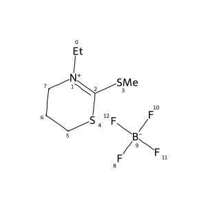 CC[N+]1=C(SC)SCCC1.F[B-](F)(F)F